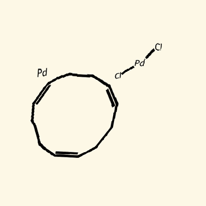 C1=C\CC/C=C\CC/C=C\CC/1.[Cl][Pd][Cl].[Pd]